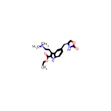 CCOC(=O)c1[nH]c2ccc(C[C@H]3COC(=O)N3)cc2c1CCN(C)C